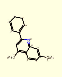 COc1ccc2c(OC)cc(C3=CCCC=C3)nc2c1